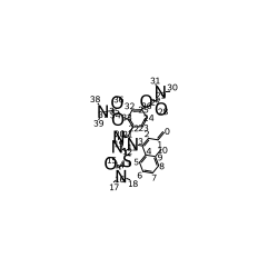 C=C/C=C(\c1ccccc1C)n1c(SC(=O)N(C)C)nnc1-c1ccc(OC(=O)N(C)C)cc1OC(=O)N(C)C